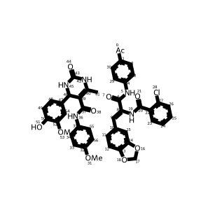 CC(=O)c1ccc(NC(=O)C(=Cc2ccc3c(c2)OCO3)NC(=O)c2ccccc2Cl)cc1.COc1ccc(NC(=O)C2=C(C)NC(=O)NC2c2ccc(O)c(OC)c2)cc1